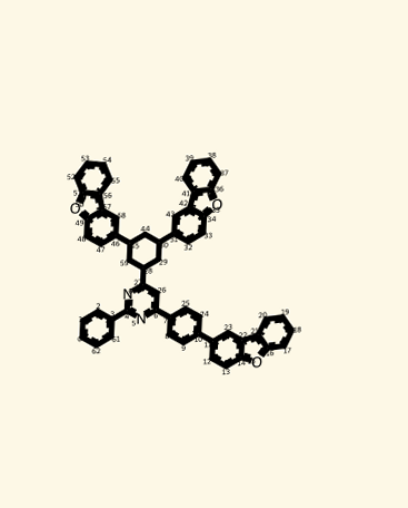 c1ccc(-c2nc(-c3ccc(-c4ccc5oc6ccccc6c5c4)cc3)cc(C3CC(c4ccc5oc6ccccc6c5c4)CC(c4ccc5oc6ccccc6c5c4)C3)n2)cc1